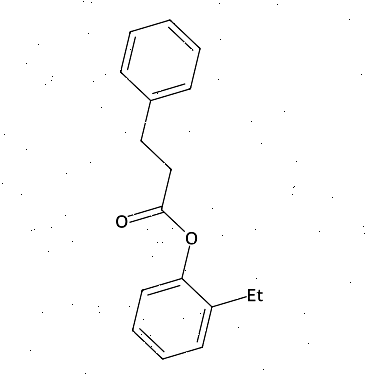 CCc1ccccc1OC(=O)CCc1ccccc1